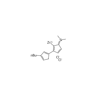 CCCCC1=CCC(C2=[C]([Zr+2])C(=[Si](C)C)C=C2)=C1.[Cl-].[Cl-]